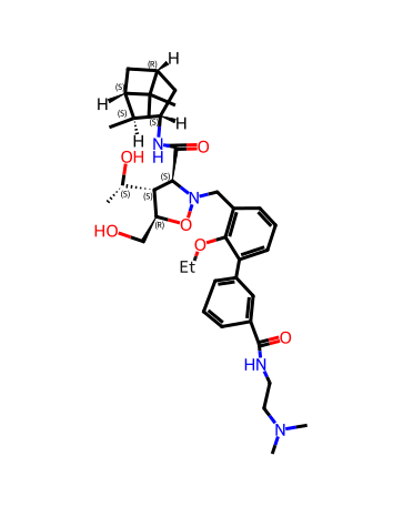 CCOc1c(CN2O[C@@H](CO)[C@H]([C@H](C)O)[C@H]2C(=O)N[C@H]2C[C@H]3C[C@@H]([C@@H]2C)C3(C)C)cccc1-c1cccc(C(=O)NCCN(C)C)c1